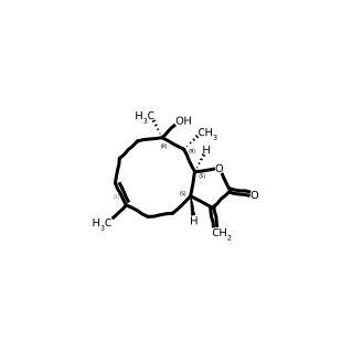 C=C1C(=O)O[C@@H]2[C@@H](C)[C@](C)(O)CC/C=C(/C)CC[C@@H]12